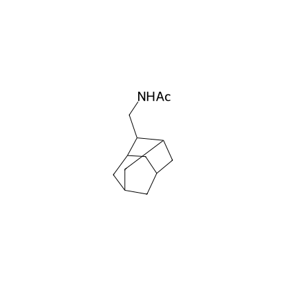 CC(=O)NCC1C2CC3CC(C2)CC1C3